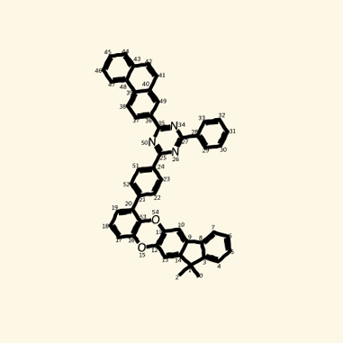 CC1(C)c2ccccc2-c2cc3c(cc21)Oc1cccc(-c2ccc(-c4nc(-c5ccccc5)nc(-c5ccc6c(ccc7ccccc76)c5)n4)cc2)c1O3